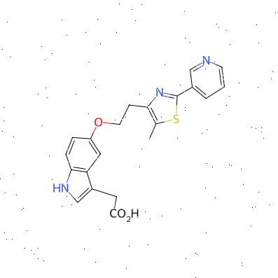 Cc1sc(-c2cccnc2)nc1CCOc1ccc2[nH]cc(CC(=O)O)c2c1